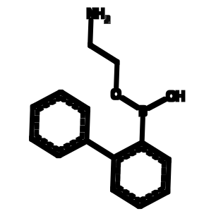 NCCOB(O)c1ccccc1-c1ccccc1